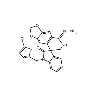 N/N=C1\NCC2(C(=O)N(Cc3ccc(Cl)s3)c3ccccc32)c2cc3c(cc21)OCO3